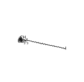 CO[Si](CCCCCCCCCCCCCCCCCCCCCCCCCCCCCCCCCCCCCCI)(OC)OC